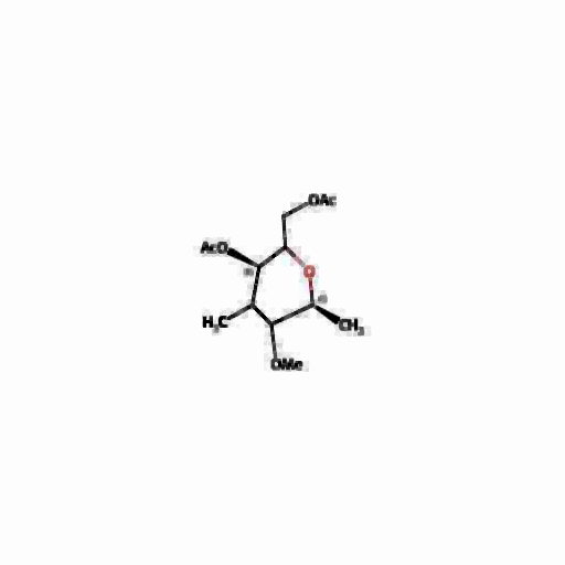 COC1C(C)[C@@H](OC(C)=O)C(COC(C)=O)O[C@H]1C